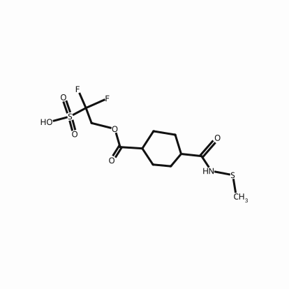 CSNC(=O)C1CCC(C(=O)OCC(F)(F)S(=O)(=O)O)CC1